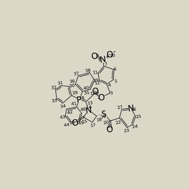 O=C(OCc1ccc([N+](=O)[O-])cc1)C(N1C(=O)C[C@H]1SC(=O)c1cccnc1)=P(c1ccccc1)(c1ccccc1)c1ccccc1